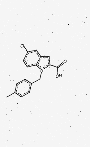 Cc1ccc(Cn2c(C(=O)O)cc3cc(Cl)ccc32)cc1